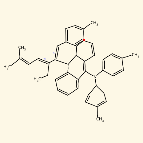 CCC(=C\C=C(C)C)/C(=C/c1ccc(C)cc1)C1c2ccccc2C(N(c2ccc(C)cc2)C2C=CC(C)=CC2)=C2C=CCCC21